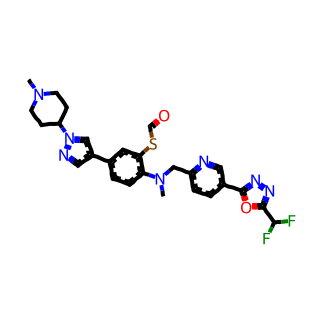 CN1CCC(n2cc(-c3ccc(N(C)Cc4ccc(-c5nnc(C(F)F)o5)cn4)c(SC=O)c3)cn2)CC1